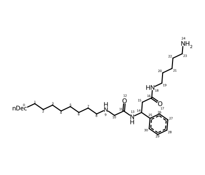 CCCCCCCCCCCCCCCCCCNCC(=O)NC(CC(=O)NCCCCCN)c1ccccc1